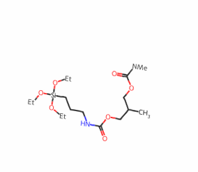 CCO[Si](CCCNC(=O)OCC(C)COC(=O)NC)(OCC)OCC